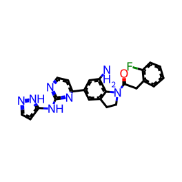 Nc1cc(-c2ccnc(Nc3ccn[nH]3)n2)cc2c1N(C(=O)Cc1ccccc1F)CC2